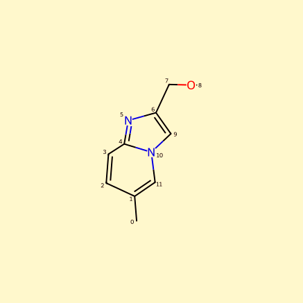 Cc1ccc2nc(C[O])cn2c1